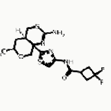 C[C@H]1C[C@H]2CSC(N)=NC2(c2nc(NC(=O)C3CC(F)(F)C3)cs2)CO1